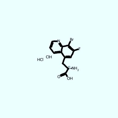 Cl.Cl.N[C@@H](Cc1cc(F)c(Br)c2ncccc12)C(=O)O